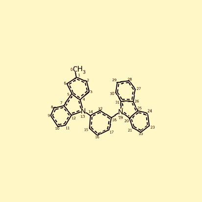 Cc1ccc2c(c1)c1ccccc1n2-c1cccc(-n2c3ccccc3c3ccccc32)c1